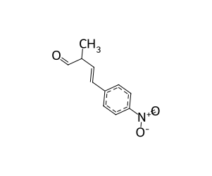 CC(C=O)/C=C/c1ccc([N+](=O)[O-])cc1